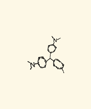 Cc1ccc(C(c2ccc(N(C)C)cc2)c2ccc(N(C)C)cc2)cc1